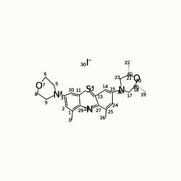 Cc1cc(N2CCOCC2)cc2[s+]c3cc(N4C[C@@H](C)O[C@@H](C)C4)cc(C)c3nc12.[I-]